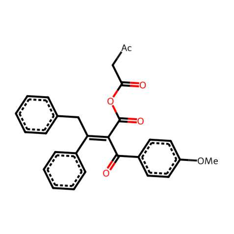 COc1ccc(C(=O)/C(C(=O)OC(=O)CC(C)=O)=C(/Cc2ccccc2)c2ccccc2)cc1